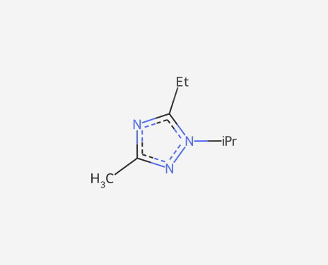 CCc1nc(C)nn1C(C)C